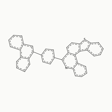 c1ccc2c(c1)cc(-c1ccc(-c3nc4ccccc4c4c3ccc3sc5ccccc5c34)cc1)c1ccccc12